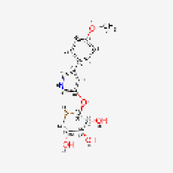 COc1ccc(-c2cncc(O[C@@H]3SC[C@@H](O)[C@H](O)[C@H]3O)c2)cc1